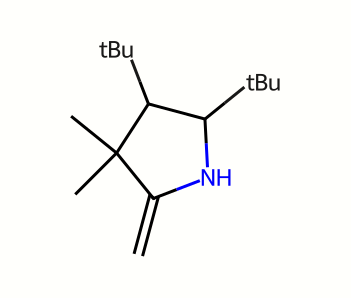 C=C1NC(C(C)(C)C)C(C(C)(C)C)C1(C)C